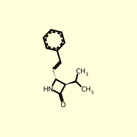 CC(C)[C@H]1C(=O)N[C@@H]1C=Cc1ccccc1